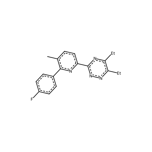 CCc1nnc(-c2ccc(C)c(-c3ccc(F)cc3)n2)nc1CC